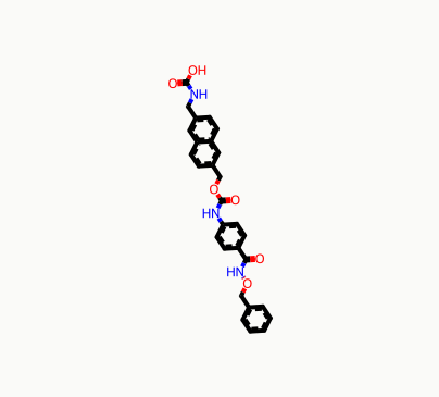 O=C(O)NCc1ccc2cc(COC(=O)Nc3ccc(C(=O)NOCc4ccccc4)cc3)ccc2c1